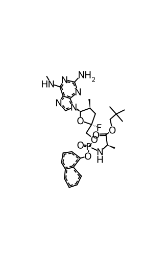 CNc1nc(N)nc2c1ncn2[C@@H]1O[C@](F)(COP(=O)(N[C@H](C)C(=O)OCC(C)(C)C)Oc2cccc3ccccc23)C[C@@H]1C